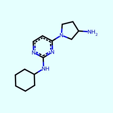 NC1CCN(c2ccnc(NC3CCCCC3)n2)C1